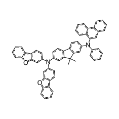 CC1(C)c2cc(N(c3ccc4c(c3)oc3ccccc34)c3ccc4c(c3)oc3ccccc34)ccc2-c2ccc(N(c3ccccc3)c3cc4ccccc4c4ccccc34)cc21